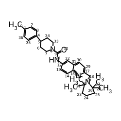 Cc1ccc(C2CCN(C(=O)Nc3ccc4nc(CN5C(C)(C)CCCC5(C)C)ccc4c3)CC2)cc1